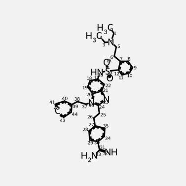 CCN(CC)CCc1ccccc1S(=O)(=O)Nc1ccc2c(c1)nc(CCc1ccc(C(=N)N)cc1)n2CCc1ccccc1